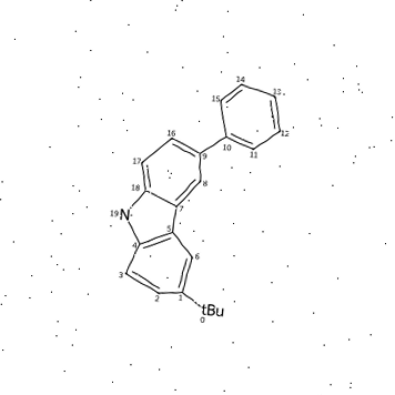 CC(C)(C)c1ccc2c(c1)-c1cc(-c3ccccc3)ccc1[N]2